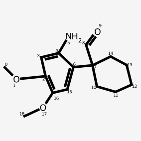 COc1cc(N)c(C2(C=O)CCCCC2)cc1OC